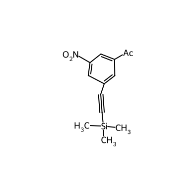 CC(=O)c1cc(C#C[Si](C)(C)C)cc([N+](=O)[O-])c1